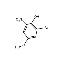 CC(=O)c1cc(OO)cc([N+](=O)[O-])c1O